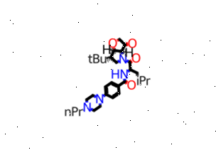 CCCN1CCN(c2ccc(C(=O)NC(CC(C)C)C(=O)N3C[C@@H](C(C)(C)C)[C@H]4OCC(=O)[C@H]43)cc2)CC1